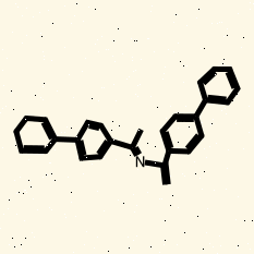 C=C(/N=C(\C)c1ccc(C2=CCCC=C2)cc1)c1ccc(-c2ccccc2)cc1